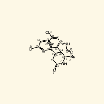 CCC(C)[C@H]1NC(=O)C[C@@H](c2cccc(Cl)c2)[C@]12C(=O)Nc1cc(Cl)ccc12